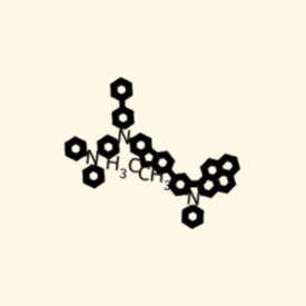 CC1(C)c2cc(-c3ccc4c(c3)c3c5ccc6cccc7ccc(cc3n4-c3ccccc3)c5c76)ccc2-c2ccc(N(c3ccc(-c4ccccc4)cc3)c3ccc(N(c4ccccc4)c4ccccc4)cc3)cc21